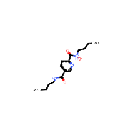 COCCCNC(=O)c1ccc(C(=O)[NH+]([O-])CCCOC)nc1